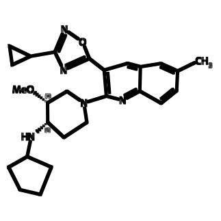 CO[C@@H]1CN(c2nc3ccc(C)cc3cc2-c2nc(C3CC3)no2)CC[C@@H]1NC1CCCC1